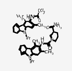 Cc1cc2c(c(C)c1NC(=O)C(Cl)(Cl)Cl)c1ccccc1n2C(C)C.Cc1cc2c(c(C)c1NC(=O)N1CCCC(C(N)=O)C1)c1ccccc1n2C(C)C